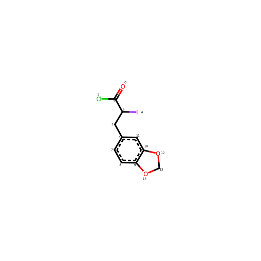 O=C(Cl)C(I)Cc1ccc2c(c1)OCO2